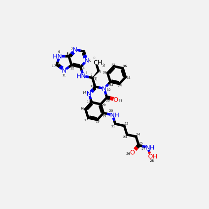 CC[C@H](Nc1ncnc2[nH]cnc12)c1nc2cccc(NCCCCC(=O)NO)c2c(=O)n1-c1ccccc1